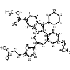 COC(=O)c1ccc2c(C3CCCCC3)c3n(c2c1)CC(c1ncc(CCC(=O)O)o1)=Cc1cc(OC)ccc1-3